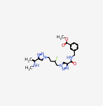 C=C(NC)c1cn(CCC(F)Cn2cc(C(=O)NCc3cccc(C(=O)OC)c3)nn2)nn1